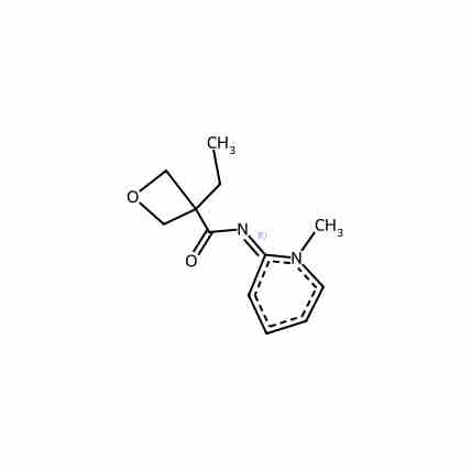 CCC1(C(=O)/N=c2\ccccn2C)COC1